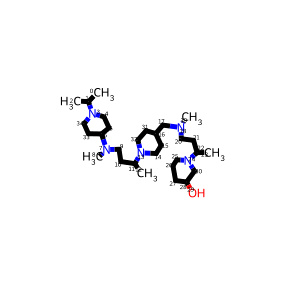 CC(C)N1CCC(N(C)CCC(C)N2CCC(CN(C)CCC(C)N3CCCC(O)C3)CC2)CC1